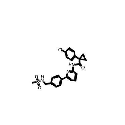 CS(=O)(=O)NCc1ccc(-c2cccc(NC(=O)C3(c4ccc(Cl)cc4)CC3)n2)cc1